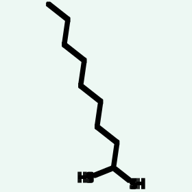 CCCCCCCCC(S)S